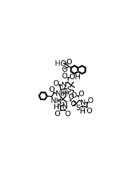 CC1(C)S[C@@H]2C(=O)C(=O)N2[C@H]1C(=O)OCS1(COC(=O)[C@@H]2N3C(=O)C(=O)[C@H]3SC2(C)C)[C@@H]2C(NC(=O)C(N)c3ccccc3)C(=O)N2[C@@H](C(=O)O)C1(C)C.O=S(=O)(O)c1ccc2ccccc2c1